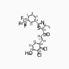 Cc1nc(-c2cccc(C(F)(F)F)c2)sc1C(=O)/C=C/c1ccc(O)c(Cl)c1Cl